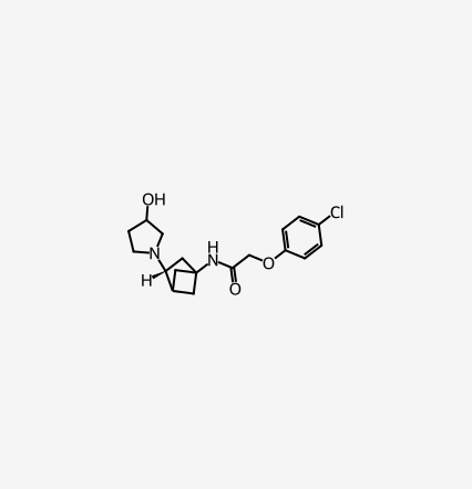 O=C(COc1ccc(Cl)cc1)NC12CC(C1)[C@H](N1CCC(O)C1)C2